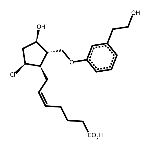 O=C(O)CCC/C=C\C[C@@H]1[C@@H](COc2cccc(CCO)c2)[C@H](O)C[C@@H]1Cl